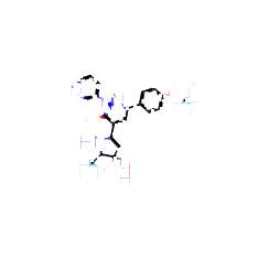 CC1(O)C=C(c2cc(-c3ccc(OC(F)(F)F)cc3)nn(-c3cccnc3)c2=O)NC1C(F)(F)F